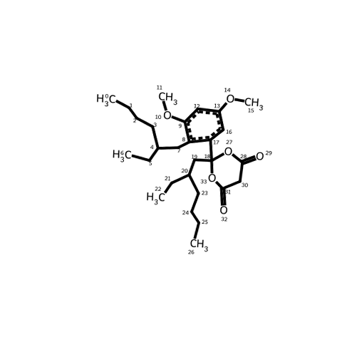 CCCCC(CC)Cc1c(OC)cc(OC)cc1C1(CC(CC)CCCC)OC(=O)CC(=O)O1